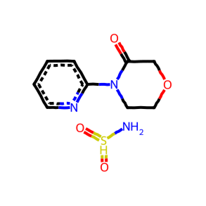 N[SH](=O)=O.O=C1COCCN1c1ccccn1